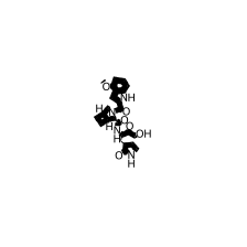 COc1cccc2[nH]c(C(=O)N3C[C@@H]4CC[C@@H]4[C@H]3C(=O)N[C@@H](C[C@@H]3CCNC3=O)C(=O)CO)cc12